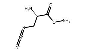 [N-]=[N+]=NC[C@H](N)C(=O)ON